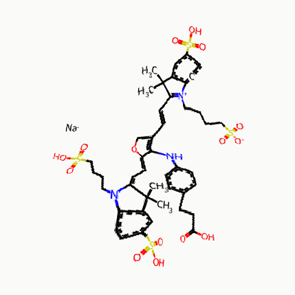 CC1(C)C(/C=C/C2=C(Nc3ccc(CCC(=O)O)cc3)C(=C/C=C3/N(CCCCS(=O)(=O)O)c4ccc(S(=O)(=O)O)cc4C3(C)C)/OC2)=[N+](CCCCS(=O)(=O)[O-])c2ccc(S(=O)(=O)O)cc21.[Na]